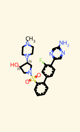 CN1CCN([C@H]2CN(S(=O)(=O)c3ccccc3-c3ccc(-c4cnc(N)cn4)c(F)c3)C[C@@H]2O)CC1